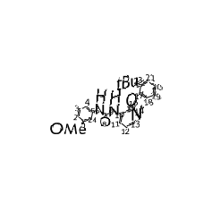 COc1cccc(NC(=O)Nc2cccnc2Oc2ccccc2C(C)(C)C)c1